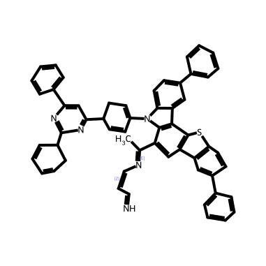 C/C(=N\C=C/C=N)c1cc2c3cc(-c4ccccc4)ccc3sc2c2c3cc(-c4ccccc4)ccc3n(C3=CCC(c4cc(-c5ccccc5)nc(C5C=CC=CC5)n4)C=C3)c12